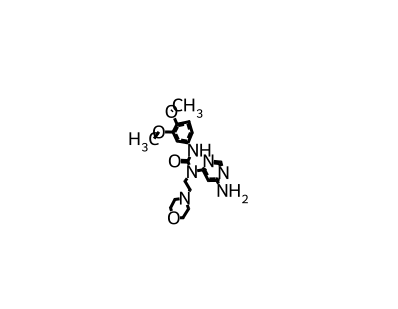 COc1ccc(NC(=O)N(CCN2CCOCC2)c2cc(N)ncn2)cc1OC